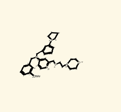 COc1cccc(CN(Cc2cccc(N3CCCC3)c2)c2ccnc(COCCN3CCOCC3)c2)c1